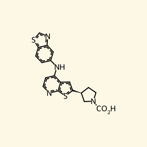 O=C(O)N1CC[C@H](c2cc3c(Nc4ccc5scnc5c4)ccnc3s2)C1